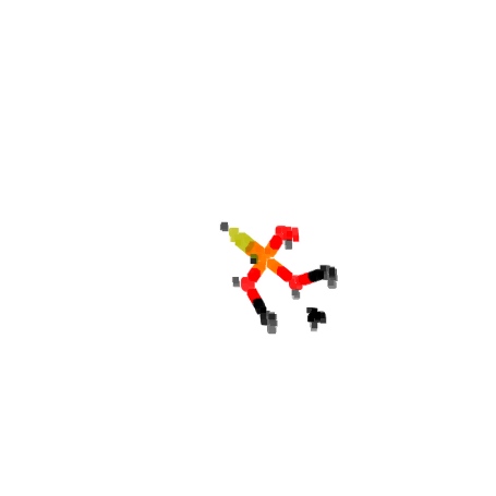 CCOP(O)(=S)OCC.[Zn]